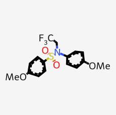 COc1ccc(N(CC(F)(F)F)S(=O)(=O)c2ccc(OC)cc2)cc1